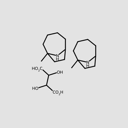 CC12CCCCC(CC1)N2.CC12CCCCC(CC1)N2.O=C(O)C(O)C(O)C(=O)O